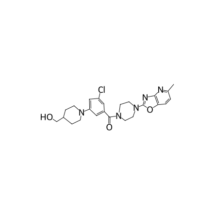 Cc1ccc2oc(N3CCN(C(=O)c4cc(Cl)cc(N5CCC(CO)CC5)c4)CC3)nc2n1